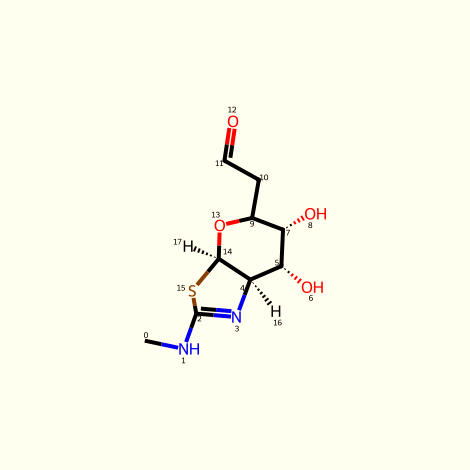 CNC1=N[C@@H]2[C@@H](O)[C@@H](O)C(CC=O)O[C@@H]2S1